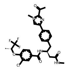 CNC(=O)C[C@H](Cc1ccc(-c2cn(C)c(C(C)=O)n2)cc1)NC(=O)c1ccc(O[C@H](C)C(F)(F)F)c(Cl)c1